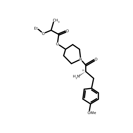 CCOC(C)C(=O)OC1CCN(C(=O)[C@@H](N)Cc2ccc(OC)cc2)CC1